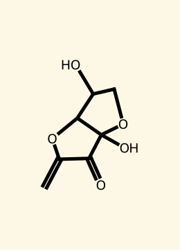 C=C1OC2C(O)COC2(O)C1=O